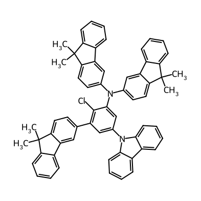 CC1(C)c2ccccc2-c2cc(-c3cc(-n4c5ccccc5c5ccccc54)cc(N(c4ccc5c(c4)-c4ccccc4C5(C)C)c4ccc5c(c4)-c4ccccc4C5(C)C)c3Cl)ccc21